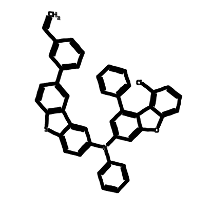 C=Cc1cccc(-c2ccc3sc4ccc(N(c5ccccc5)c5cc(-c6ccccc6)c6c(c5)oc5cccc(Cl)c56)cc4c3c2)c1